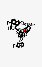 C#Cc1c(F)ccc2cc(OCOC)cc([C@@H](O)c3nc4c(N5CC6CCC(C5)N6C(=O)OC(C)(C)C)nc(OC[C@@]56CCCN5C[C@H](F)C6)nc4s3)c12